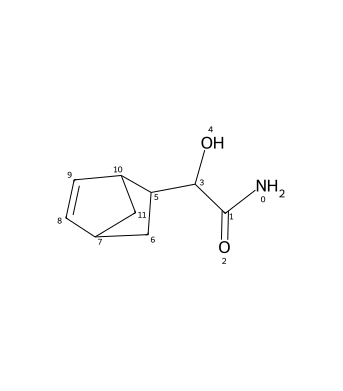 NC(=O)C(O)C1CC2C=CC1C2